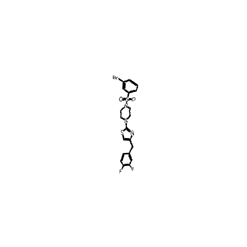 O=S(=O)(c1cccc(Br)c1)N1CCN(c2nc(Cc3ccc(F)c(F)c3)cs2)CC1